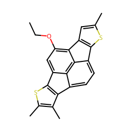 CCOc1cc2c3c(ccc4c3c1-c1cc(C)sc1-4)-c1c-2sc(C)c1C